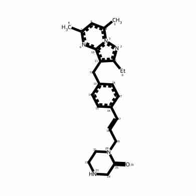 CCc1nn2c(C)cc(C)nc2c1Cc1ccc(/C=C/CN2CCNCC2=O)cc1